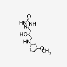 COc1cccc(NCC(O)Cc2n[nH]c(=O)[nH]2)c1